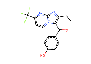 CCc1nc2nc(C(F)(F)F)ccn2c1C(=O)c1ccc(O)cc1